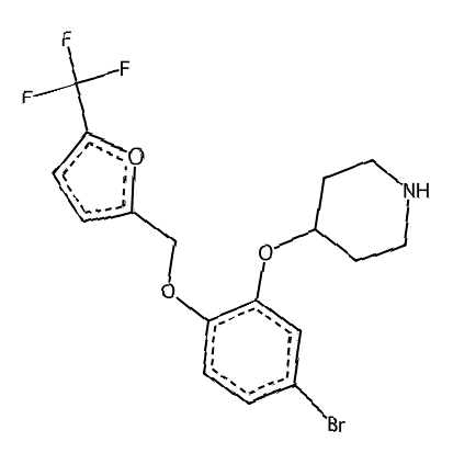 FC(F)(F)c1ccc(COc2ccc(Br)cc2OC2CCNCC2)o1